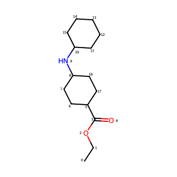 CCOC(=O)C1CCC(NC2CCCCC2)CC1